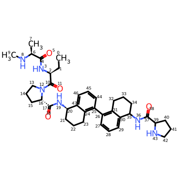 CC[C@H](NC(=O)[C@H](C)NC)C(=O)N1CCC[C@H]1C(=O)N[C@@H]1CCCc2c(-c3cccc4c3CCCC4NC(=O)C3CCCN3)cccc21